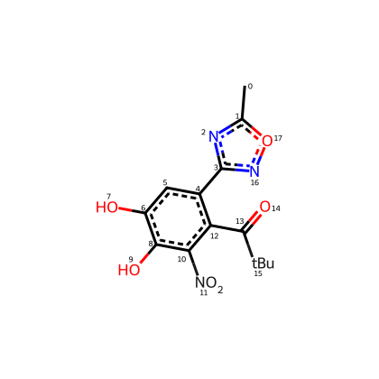 Cc1nc(-c2cc(O)c(O)c([N+](=O)[O-])c2C(=O)C(C)(C)C)no1